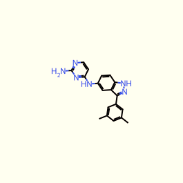 Cc1cc(C)cc(-c2n[nH]c3ccc(Nc4ccnc(N)n4)cc23)c1